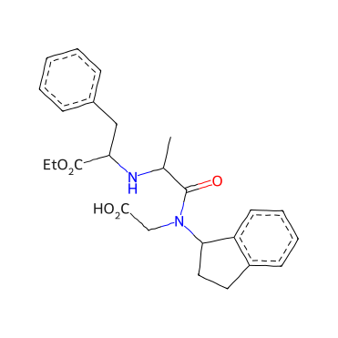 CCOC(=O)C(Cc1ccccc1)NC(C)C(=O)N(CC(=O)O)C1CCc2ccccc21